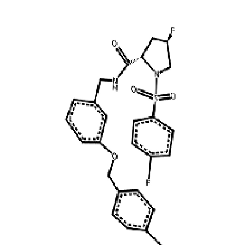 O=C(NCc1cccc(OCc2ccc(C(F)(F)F)cc2)c1)[C@@H]1C[C@@H](F)CN1S(=O)(=O)c1ccc(F)cc1